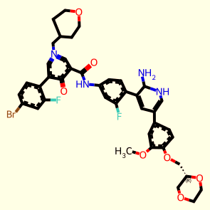 COc1cc(C2=CNC(N)C(c3ccc(NC(=O)c4cn(CC5CCOCC5)cc(-c5ccc(Br)cc5F)c4=O)cc3F)=C2)ccc1OC[C@H]1COCCO1